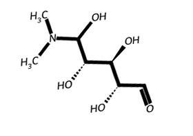 CN(C)C(O)[C@@H](O)[C@@H](O)[C@@H](O)C=O